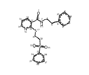 O=C(NCCc1ccccc1)c1cccnc1SCCS(=O)(=O)c1ccccc1